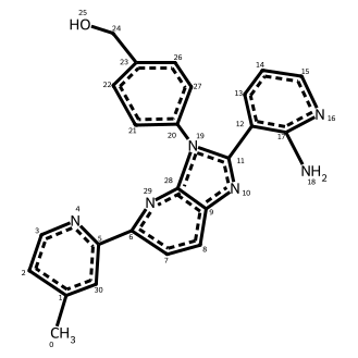 Cc1ccnc(-c2ccc3nc(-c4cccnc4N)n(-c4ccc(CO)cc4)c3n2)c1